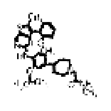 CNC(=O)CN1CCC(c2ccc(Nc3ncc4sc(C)c(-c5ccccc5OC)c4n3)c(OC(C)C)c2)CC1